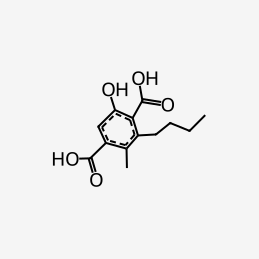 CCCCc1c(C)c(C(=O)O)cc(O)c1C(=O)O